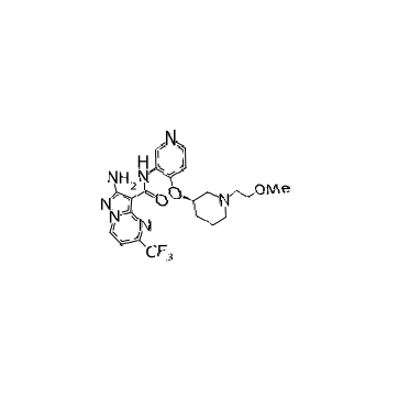 COCCN1CCC[C@@H](Oc2ccncc2NC(=O)c2c(N)nn3ccc(C(F)(F)F)nc23)C1